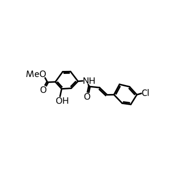 COC(=O)c1ccc(NC(=O)/C=C/c2ccc(Cl)cc2)cc1O